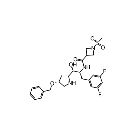 CS(=O)(=O)N1CC(C(=O)N[C@@H](Cc2cc(F)cc(F)c2)[C@H](O)[C@H]2C[C@@H](OCc3ccccc3)CN2)C1